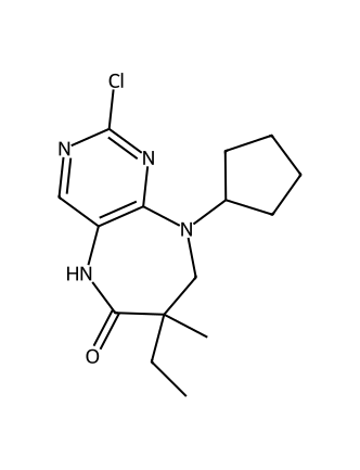 CCC1(C)CN(C2CCCC2)c2nc(Cl)ncc2NC1=O